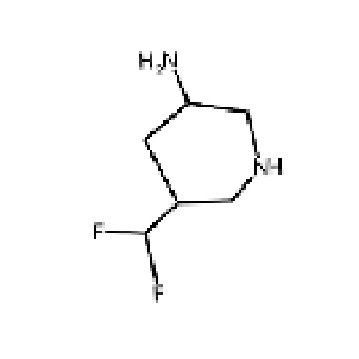 NC1CNCC(C(F)F)C1